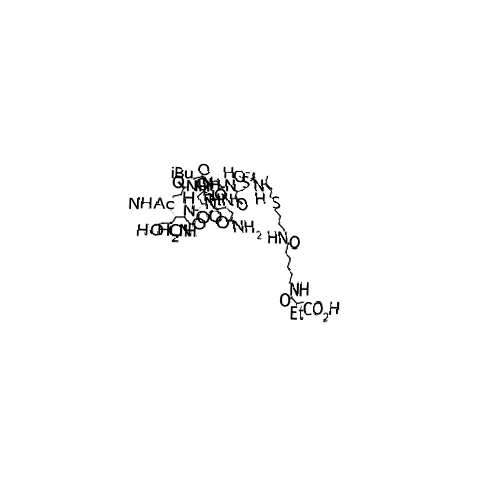 C=C(N/C(C)=C\CSCCCCNC(=O)CCCCCNC(=O)C(CC)CC(=O)O)[S+]([O-])C[C@H](NC(=O)CNC(=O)[C@@H](NC(=O)CCNC(C)=O)[C@@H](C)CC)C(=O)N[C@@H](CC(N)=O)C(=O)N1C[C@H](O)C[C@H]1C(=O)N[C@H](C(N)=O)[C@@H](C)[C@@H](O)CO